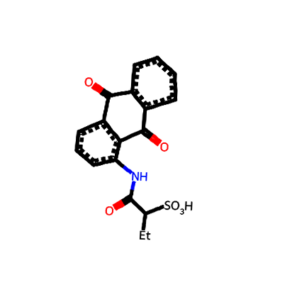 CCC(C(=O)Nc1cccc2c1C(=O)c1ccccc1C2=O)S(=O)(=O)O